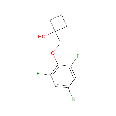 OC1(COc2c(F)cc(Br)cc2F)CCC1